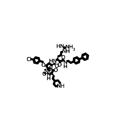 CS(=O)(=O)N[C@H](CCC1CCNCC1)C(=O)N1C[C@H](OCc2ccc(Cl)cc2)C[C@H]1C(=O)N[C@@H](CCCNC(=N)N)C(=O)C(=O)NCCc1ccc(-c2ccccc2)cc1